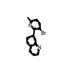 Cc1ccc(Br)c(-c2ccc3cccnc3c2)n1